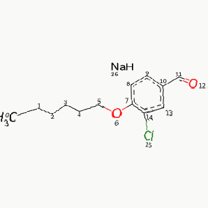 CCCCCCOc1ccc(C=O)cc1Cl.[NaH]